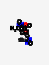 CC(C)(C)c1nc2ccccc2nc1-c1ccc2oc3cc(CC(C)(C)c4nc5ccccc5nc4-c4cccc5c4oc4ccccc45)ccc3c2c1